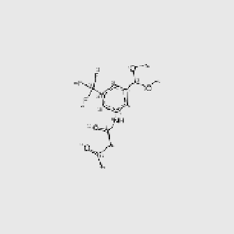 COC(OC)c1cc(NC(=O)CC(C)=O)cc(C(F)(F)F)c1